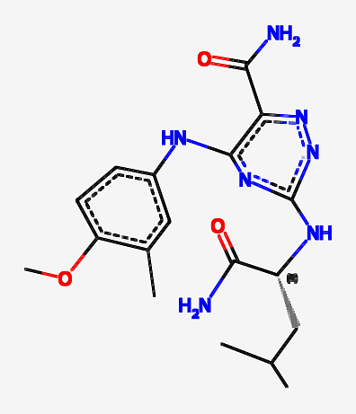 COc1ccc(Nc2nc(N[C@H](CC(C)C)C(N)=O)nnc2C(N)=O)cc1C